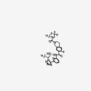 CC(CO)n1nnnc1-c1cccc(NC(=O)c2cc3c(cc2F)CCN(C(=O)N(C)CC(F)(F)F)C3)n1